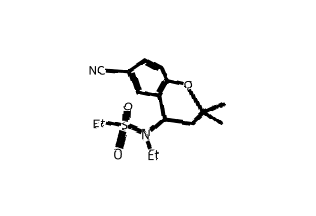 CCN(C1CC(C)(C)Oc2ccc(C#N)cc21)S(=O)(=O)CC